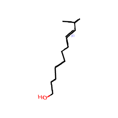 CC(C)/C=C/CCCCCCCO